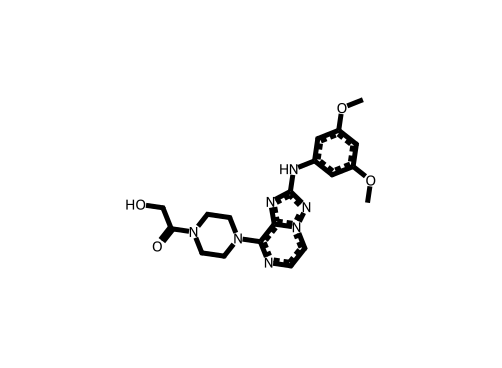 COc1cc(Nc2nc3c(N4CCN(C(=O)CO)CC4)nccn3n2)cc(OC)c1